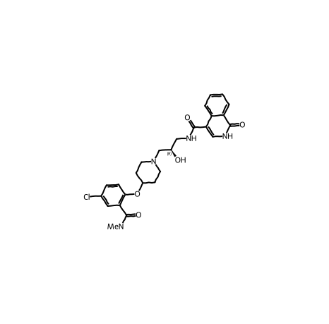 CNC(=O)c1cc(Cl)ccc1OC1CCN(C[C@H](O)CNC(=O)c2c[nH]c(=O)c3ccccc23)CC1